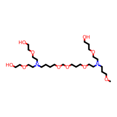 COCCCN(CCOCCCO)CCOCCCOCOCCCCN(CCOCCO)CCOCCO